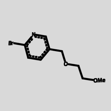 COCCOCc1ccc(Br)nc1